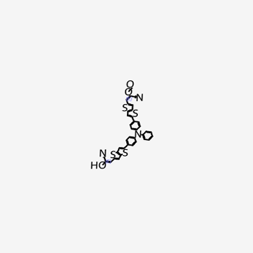 N#C/C(O)=C\c1cc2sc(-c3ccc(N(c4ccccc4)c4ccc(-c5cc6sc(/C=C(\C#N)OC=O)cc6s5)cc4)cc3)cc2s1